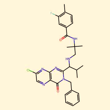 Cc1ccc(C(=O)NC(C)(C)CNC(c2nc3nc(Cl)cnc3c(=O)n2Cc2ccccc2)C(C)C)cc1F